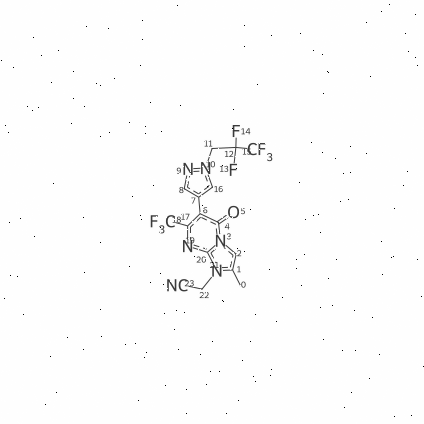 Cc1cn2c(=O)c(-c3cnn(CC(F)(F)C(F)(F)F)c3)c(C(F)(F)F)nc2n1CC#N